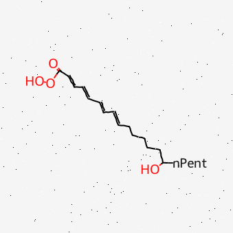 CCCCCC(O)CCCCCC=CC=CC=CC=CC(=O)OO